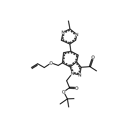 C=CCOCc1cc(-c2cnc(C)nc2)cc2c(C(C)=O)nn(CC(=O)OC(C)(C)C)c12